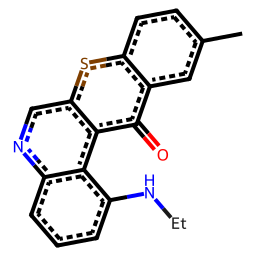 CCNc1cccc2ncc3sc4ccc(C)cc4c(=O)c3c12